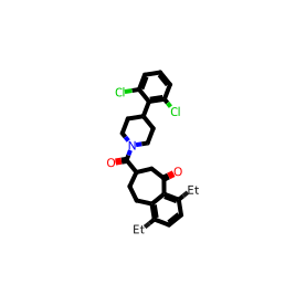 CCc1ccc(CC)c2c1CCC(C(=O)N1CCC(c3c(Cl)cccc3Cl)CC1)CC2=O